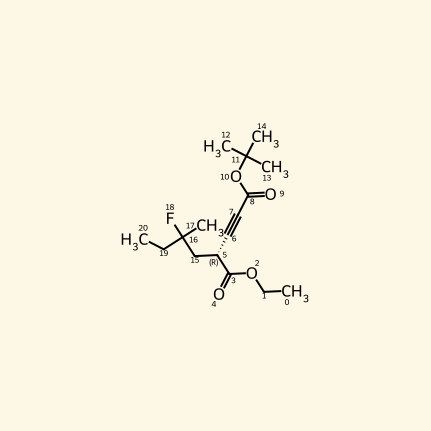 CCOC(=O)[C@@H](C#CC(=O)OC(C)(C)C)CC(C)(F)CC